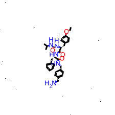 CCOc1ccc(C[C@@H](NC(=O)NC(C)C)C(=O)N[C@@H](Cc2ccccc2)C(=O)NCc2ccc(CN)cc2)cc1